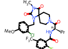 COc1ccc(CN2C(=O)N(C)C(=O)C23CCN(C(=O)[C@H](NC(=O)c2cc(C(F)(F)F)ccc2F)C(C)C)CC3)c(Cl)c1